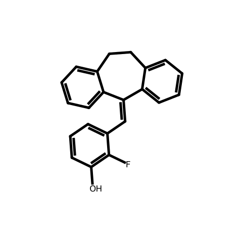 Oc1cccc(C=C2c3ccccc3CCc3ccccc32)c1F